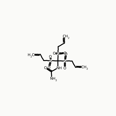 C=CCS(=O)(=O)C(NC(N)=O)(S(=O)(=O)CC=C)S(=O)(=O)CC=C